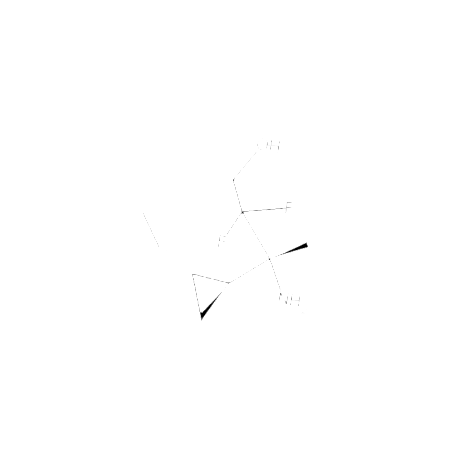 CC[C@H]1C[C@@H]1[C@@](C)(N)C(F)(F)CO